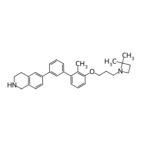 Cc1c(OCCCN2CCC2(C)C)cccc1-c1cccc(-c2ccc3c(c2)CCNC3)c1